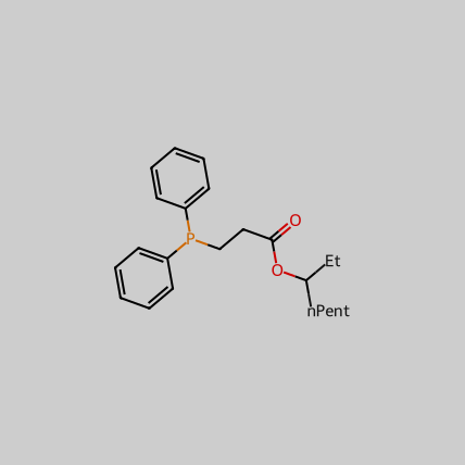 CCCCCC(CC)OC(=O)CCP(c1ccccc1)c1ccccc1